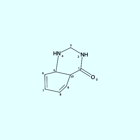 O=C1NCNC2C=CC=CC12